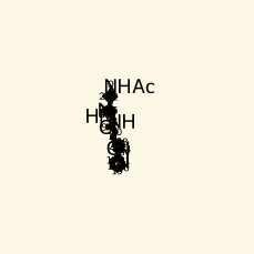 CC(=O)N[C@H]1C[C@@H](c2cc(NC(=O)CCc3cnc(-c4ccccn4)o3)[nH]n2)C1